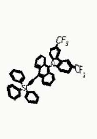 FC(F)(F)c1ccc2c(c1)c1cc(C(F)(F)F)ccc1n2-c1c2ccccc2c(C#C[Si](c2ccccc2)(c2ccccc2)c2ccccc2)c2ccccc12